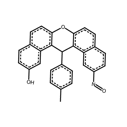 Cc1ccc(C2c3c(ccc4ccc(O)cc34)Oc3ccc4ccc(N=O)cc4c32)cc1